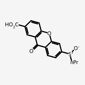 CCC[S+]([O-])c1ccc2c(=O)c3cc(C(=O)O)ccc3oc2c1